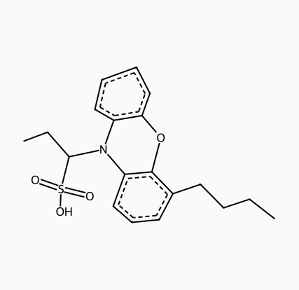 CCCCc1cccc2c1Oc1ccccc1N2C(CC)S(=O)(=O)O